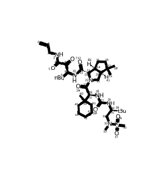 C=CCNC(=O)C(=O)C(CCCC)NC(=O)[C@@H]1[C@H]2CCC(C)(C)[C@H]2CN1C(=O)[C@@H](NC(=O)N[C@H](CN(C)S(C)(=O)=O)C(C)(C)C)C1(C)CCCCC1